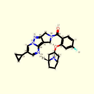 CN1C2CC[C@@H]1CC(Oc1cc(F)ccc1C(=O)N1Cc3nn4cc(C5CC5)cnc4c3C1)C2